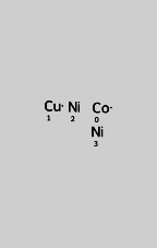 [Co].[Cu].[Ni].[Ni]